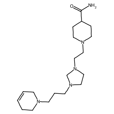 NC(=O)C1CCN(CCN2CCN(CCCN3CC=CCC3)C2)CC1